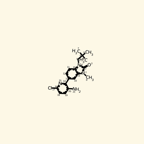 Cn1c(=O)n(CC(C)(C)C)c2ccc(-c3nc(Cl)ccc3N)cc21